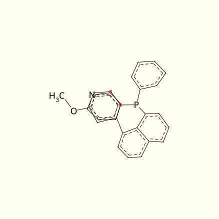 COc1cc(-c2cccc3cccc(P(c4ccccc4)c4ccccc4)c23)ccn1